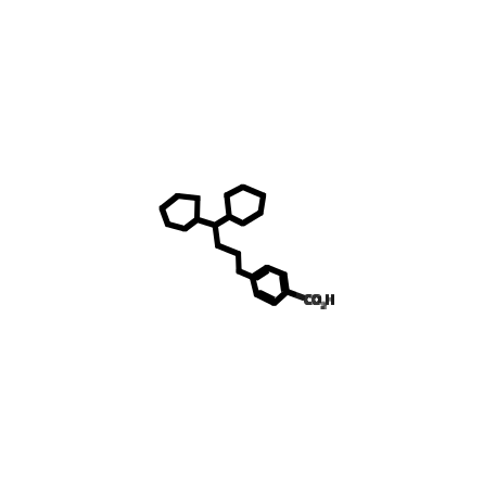 O=C(O)c1ccc(CCCC(C2CCCCC2)C2CCCCC2)cc1